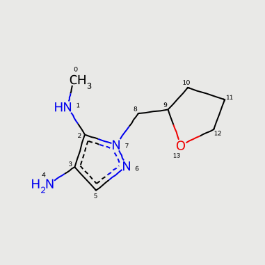 CNc1c(N)cnn1CC1CCCO1